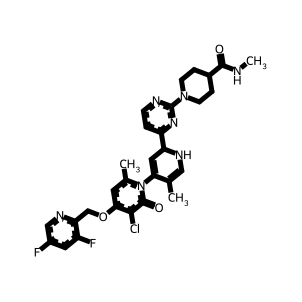 CNC(=O)C1CCN(c2nccc(C3C=C(n4c(C)cc(OCc5ncc(F)cc5F)c(Cl)c4=O)C(C)=CN3)n2)CC1